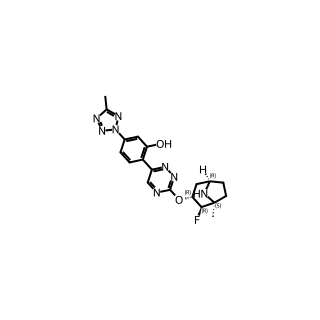 Cc1nnn(-c2ccc(-c3cnc(O[C@@H]4C[C@H]5CC[C@](C)(N5)[C@H]4F)nn3)c(O)c2)n1